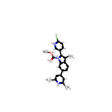 Cc1cc(-c2ccc3c(C)c(-c4ccc(F)nc4)n(C(=O)OC(C)(C)C)c3c2)cc(C)n1